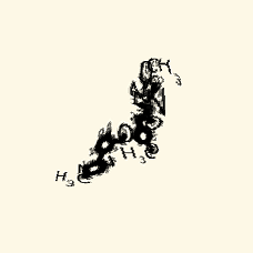 COc1cc(OCc2cccc(-c3cnc(C)cn3)c2)c2cc(-c3cn4nc(OC)sc4n3)oc2c1